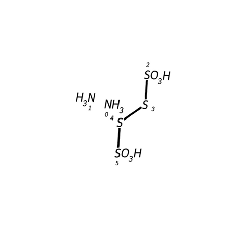 N.N.O=S(=O)(O)SSS(=O)(=O)O